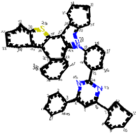 c1ccc(-c2cc(-c3ccccc3)nc(-c3cccc(-n4c5ccccc5c5c6sc7ccccc7c6c6ccccc6c54)c3)n2)cc1